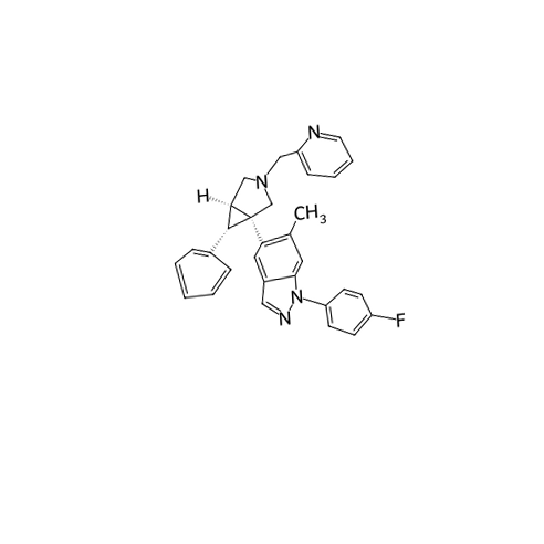 Cc1cc2c(cnn2-c2ccc(F)cc2)cc1[C@@]12CN(Cc3ccccn3)C[C@@H]1[C@H]2c1ccccc1